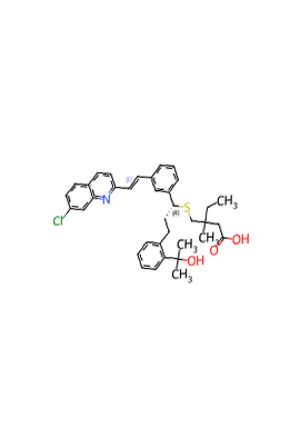 CCC(C)(CS[C@H](CCc1ccccc1C(C)(C)O)c1cccc(/C=C/c2ccc3ccc(Cl)cc3n2)c1)CC(=O)O